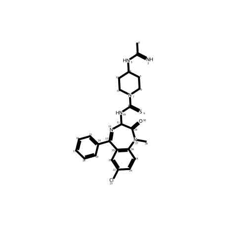 CC(=N)NC1CCN(C(=S)NC2N=C(c3ccccc3)c3cc(Cl)ccc3N(C)C2=O)CC1